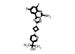 CC(C)(O)c1ccc([C@H]2C[C@@H](c3nc4c5cc(F)cc(F)c5nc(N)n4n3)C2)nc1